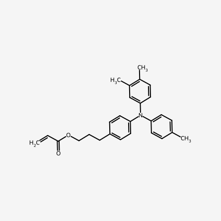 C=CC(=O)OCCCc1ccc(N(c2ccc(C)cc2)c2ccc(C)c(C)c2)cc1